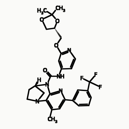 Cc1cc(-c2cccc(C(F)(F)F)c2)nc2c1N1CC[C@@H](C1)N2C(=O)Nc1ccnc(OC[C@@H]2COC(C)(C)O2)c1